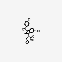 Cc1c([C@H](CC2CCC2)C(=O)O)c2cc(O)ccc2n1C(=O)c1ccc(Cl)cc1